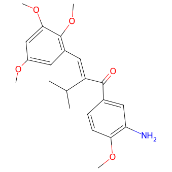 COc1cc(/C=C(/C(=O)c2ccc(OC)c(N)c2)C(C)C)c(OC)c(OC)c1